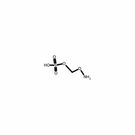 NOCOS(=O)(=O)O